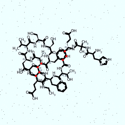 CCNC(=O)C(CCC(=O)O)N1CC(C)C[C@H](NC(=O)[C@H](Cc2ccc(O)cc2)NC(=O)[C@H](CO)NC(=O)[C@H](CO)NC(=O)[C@@H](NC(=O)[C@H](CC(=O)O)NC(=O)[C@H](C)NC(=O)[C@@H](NC(=O)C(Cc2ccccc2)NC(=O)[C@@H](NC(=O)CNC(=O)[C@H](CCC(=O)O)NC(=O)C(C)(C)NC(=O)C(N)Cc2c[nH]cn2)[C@@H](C)O)[C@@H](C)O)C(C)C)C1=O